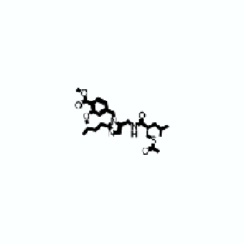 CCCCc1ncc(CNC(=O)[C@H](CSC(C)=O)CC(C)C)n1Cc1ccc(C(=O)OC)c(OC)c1